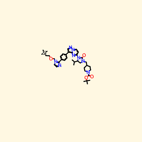 CC(C)C1CN(CC2CCN(C(=O)OC(C)(C)C)CC2)C(=O)N1c1ccn2ncc(-c3ccc(-c4nccn4COCC[Si](C)(C)C)cc3)c2n1